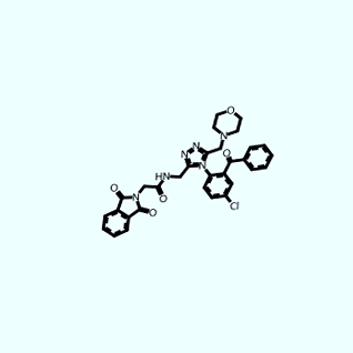 O=C(CN1C(=O)c2ccccc2C1=O)NCc1nnc(CN2CCOCC2)n1-c1ccc(Cl)cc1C(=O)c1ccccc1